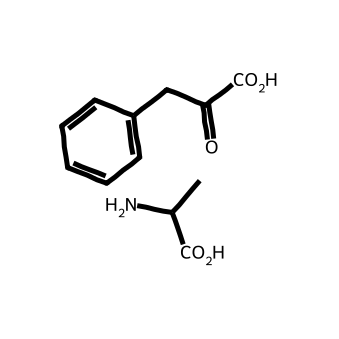 CC(N)C(=O)O.O=C(O)C(=O)Cc1ccccc1